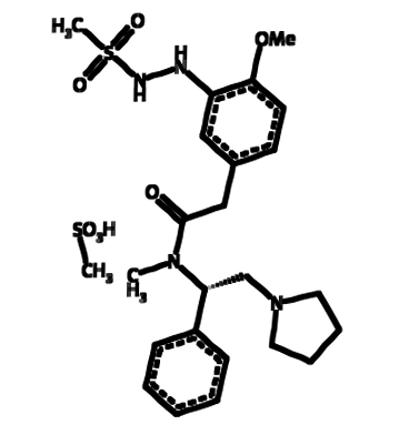 COc1ccc(CC(=O)N(C)[C@H](CN2CCCC2)c2ccccc2)cc1NNS(C)(=O)=O.CS(=O)(=O)O